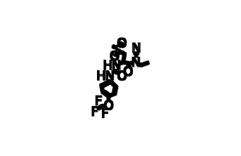 CCN(C#N)C(=O)C(CS(C)(=O)=O)NC(=O)Nc1ccc(OC(F)(F)F)cc1